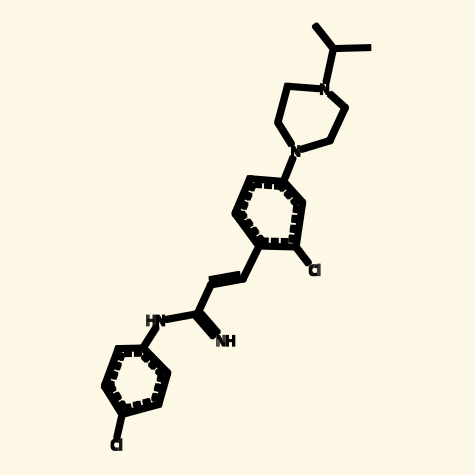 CC(C)N1CCN(c2ccc(/C=C/C(=N)Nc3ccc(Cl)cc3)c(Cl)c2)CC1